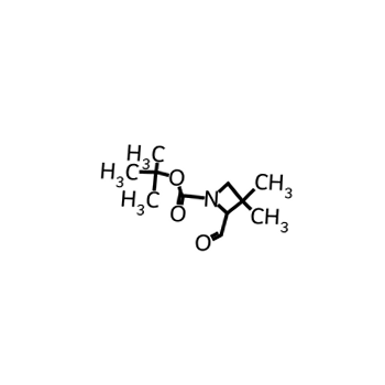 CC(C)(C)OC(=O)N1CC(C)(C)C1C=O